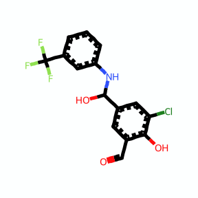 O=Cc1cc(C(O)Nc2cccc(C(F)(F)F)c2)cc(Cl)c1O